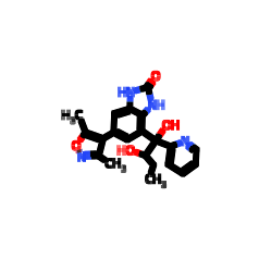 CCC(O)C(O)(c1ccccn1)c1cc(-c2c(C)noc2C)cc2[nH]c(=O)[nH]c12